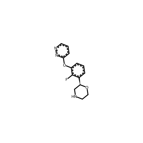 Fc1c(Oc2cccnn2)cccc1[C@@H]1CNCCO1